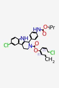 C=C/C=C(\C=C/CCl)OC(=O)N1CCc2c([nH]c3ccc(Cl)cc23)C1c1ccc(NC(=O)OC(C)C)cc1